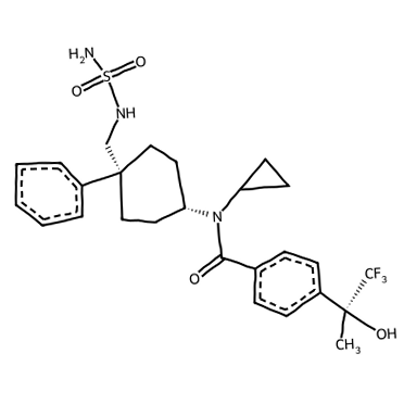 C[C@](O)(c1ccc(C(=O)N(C2CC2)[C@H]2CC[C@](CNS(N)(=O)=O)(c3ccccc3)CC2)cc1)C(F)(F)F